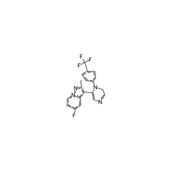 Cc1nn2ccc(F)cc2c1C1=CN=CCN1c1ccc(C(F)(F)F)cc1